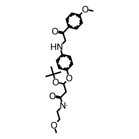 COCC[N]C(=O)CC(Oc1ccc(NCC(=O)c2ccc(OC)cc2)cc1)OC(C)(C)C